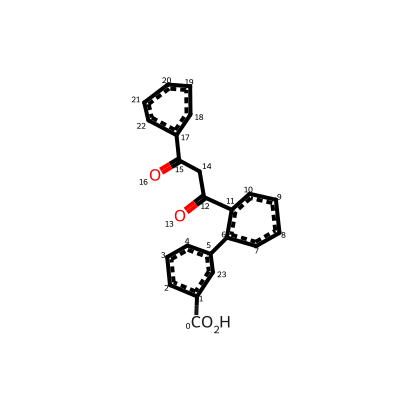 O=C(O)c1cccc(-c2ccccc2C(=O)CC(=O)c2ccccc2)c1